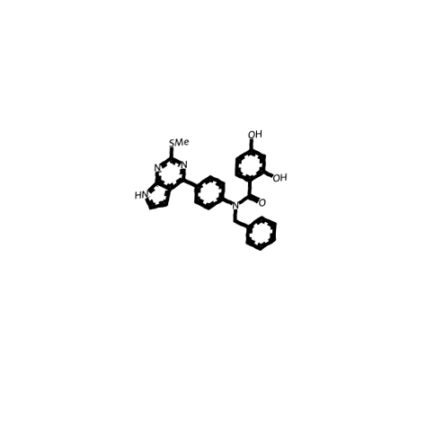 CSc1nc(-c2ccc(N(Cc3ccccc3)C(=O)c3ccc(O)cc3O)cc2)c2cc[nH]c2n1